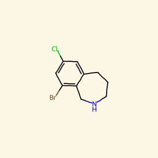 Clc1cc(Br)c2c(c1)CCCNC2